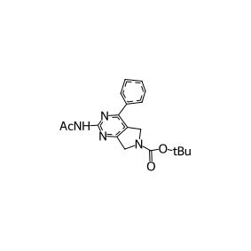 CC(=O)Nc1nc2c(c(-c3ccccc3)n1)CN(C(=O)OC(C)(C)C)C2